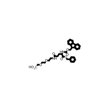 O=C(O)COCCOCCNC(=O)CCC(NC(=O)OCC1c2ccccc2-c2ccccc21)C(=O)OCc1ccccc1